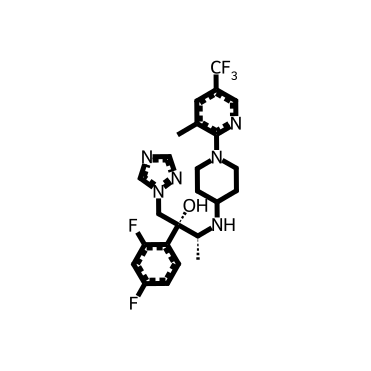 Cc1cc(C(F)(F)F)cnc1N1CCC(N[C@H](C)[C@](O)(Cn2cncn2)c2ccc(F)cc2F)CC1